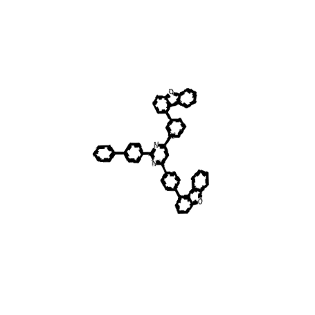 c1ccc(-c2ccc(-c3nc(-c4ccc(-c5cccc6oc7ccccc7c56)cc4)cc(-c4cccc(-c5cccc6oc7ccccc7c56)c4)n3)cc2)cc1